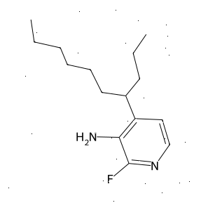 CCCCCCC(CCC)c1ccnc(F)c1N